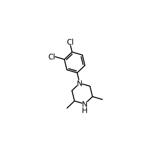 CC1CN(c2ccc(Cl)c(Cl)c2)CC(C)N1